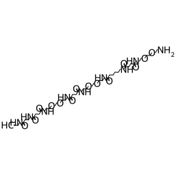 C#CCNC(=O)CCNC(=O)CCC(=O)NCCOCCOCCNC(=O)CCC(=O)NCCOCCOCCNC(=O)CCCCCNC(=O)CCC(=O)NCCOCCOCCN